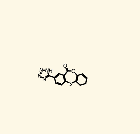 O=C1OC2=C(CCC=C2)Sc2ccc(-c3nnn[nH]3)cc21